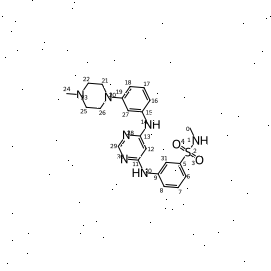 CNS(=O)(=O)c1cccc(Nc2cc(Nc3cccc(N4CCN(C)CC4)c3)ncn2)c1